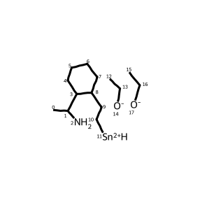 CC(N)C1CCCCC1C[CH2][SnH+2].CC[O-].CC[O-]